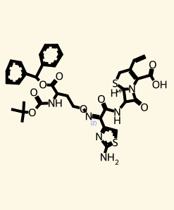 C=CC1=C(C(=O)O)N2C(=O)C(NC(=O)/C(=N\OCCC(NC(=O)OC(C)(C)C)C(=O)OC(c3ccccc3)c3ccccc3)c3csc(N)n3)[C@H]2SC1